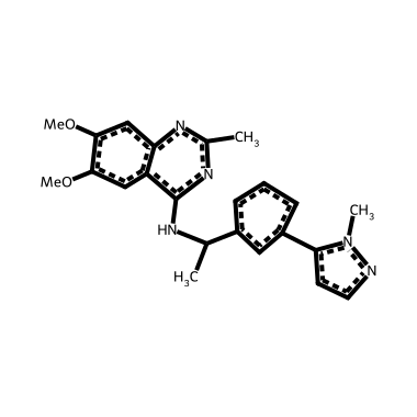 COc1cc2nc(C)nc(NC(C)c3cccc(-c4ccnn4C)c3)c2cc1OC